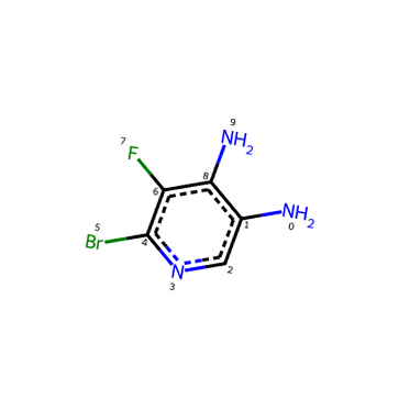 Nc1cnc(Br)c(F)c1N